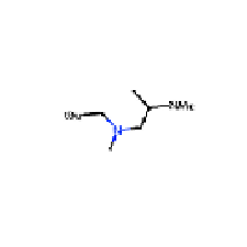 CNC(C)CN(C)CC(C)(C)C